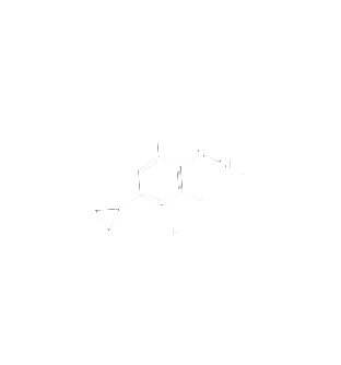 Cl.NNc1c(F)cc(C2CC2)cc1F